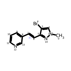 Cn1cc(Br)c(/C=C/c2cccnc2)n1